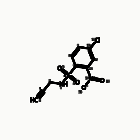 C#CCNS(=O)(=O)c1ccc(Cl)cc1[N+](=O)[O-]